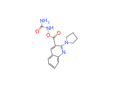 NC(=O)NOC(=O)c1cc2ccccc2nc1N1CCCC1